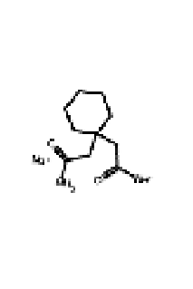 [NH-]C(=O)CC1(CC(N)=O)CCCCC1.[Na+]